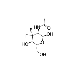 CC(=O)N[C@H]1[C@@H](O)O[C@H](CO)[C@@H](O)C1(F)F